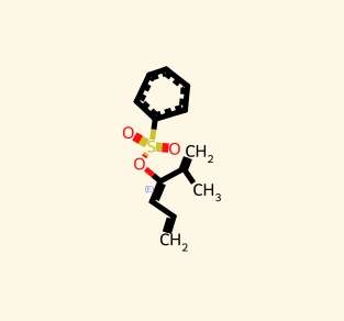 C=C/C=C(/OS(=O)(=O)c1ccccc1)C(=C)C